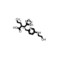 CCCC(C(=O)O)[C@H](Cc1ccc(NCCO)cn1)c1nnn[nH]1